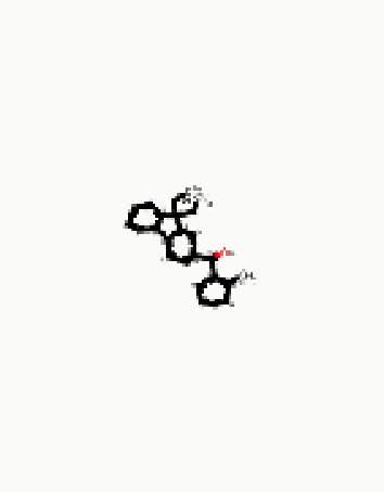 CCC1(CC)c2ccccc2-c2ccc(C(=O)c3ccccc3C)cc21